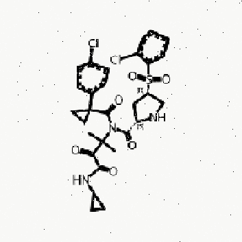 CC(C)(C(=O)C(=O)NC1CC1)N(C(=O)[C@@H]1C[C@@H](S(=O)(=O)c2ccccc2Cl)CN1)C(=O)C1(c2ccc(Cl)cc2)CC1